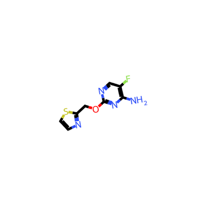 Nc1nc(OCc2nccs2)ncc1F